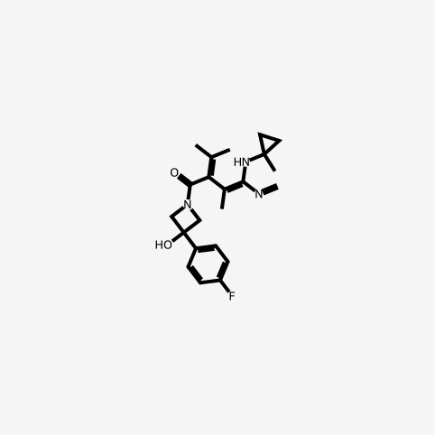 C=N/C(NC1(C)CC1)=C(\C)C(C(=O)N1CC(O)(c2ccc(F)cc2)C1)=C(C)C